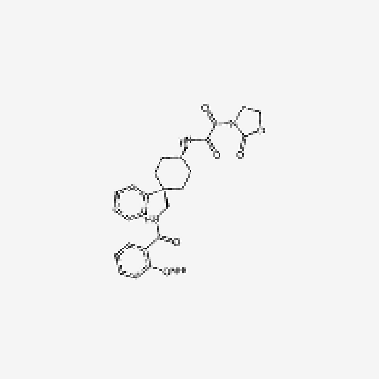 COc1ccccc1C(=O)NC[C@]1(c2ccccc2)CC[C@H](NC(=O)C(=O)N2CCOC2=O)CC1